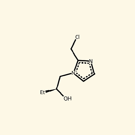 CC[C@H](O)Cn1ccnc1CCl